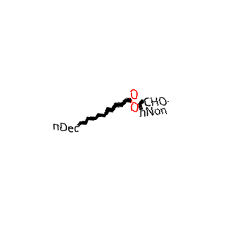 CCCCCCCCCCCCCCCCCCCCCC(=O)OC(C[C]=O)CCCCCCCCC